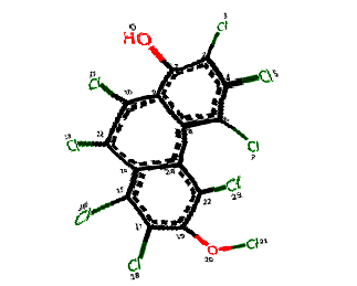 Oc1c(Cl)c(Cl)c(Cl)c2c1c(Cl)c(Cl)c1c(Cl)c(Cl)c(OCl)c(Cl)c12